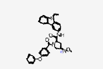 CCn1c2ccccc2c2cc(NC(=O)C3C/C(=N\OC)CN3C(=O)c3ccc(Oc4ccccc4)cc3)ccc21